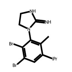 Cc1c(C(C)C)cc(Br)c(Br)c1N1CCNC1=N